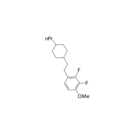 CCCC1CCC(CCc2ccc(OC)c(F)c2F)CC1